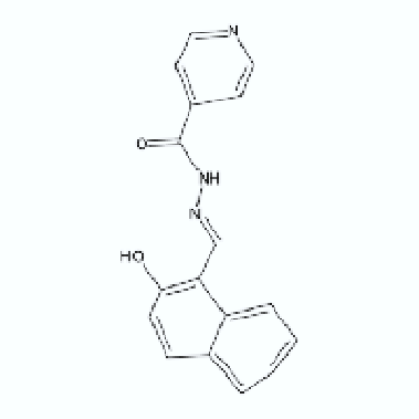 O=C(NN=Cc1c(O)ccc2ccccc12)c1ccncc1